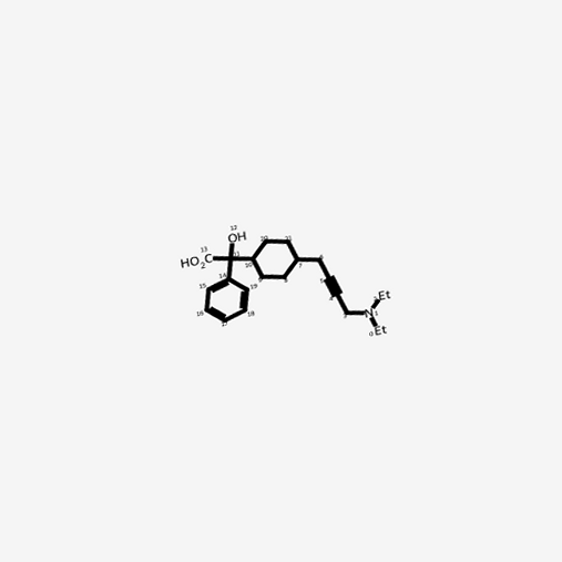 CCN(CC)CC#CCC1CCC(C(O)(C(=O)O)c2ccccc2)CC1